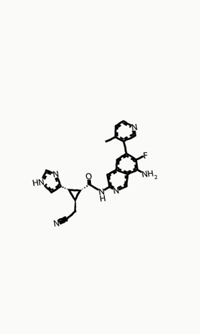 Cc1ccncc1-c1cc2cc(NC(=O)[C@@H]3[C@@H](CC#N)[C@@H]3c3c[nH]cn3)ncc2c(N)c1F